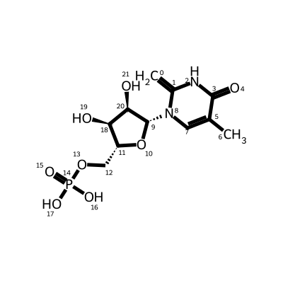 C=C1NC(=O)C(C)=CN1[C@@H]1O[C@H](COP(=O)(O)O)[C@@H](O)[C@H]1O